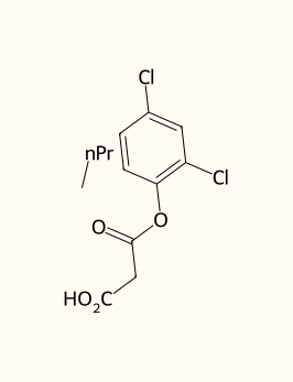 CCCC.O=C(O)CC(=O)Oc1ccc(Cl)cc1Cl